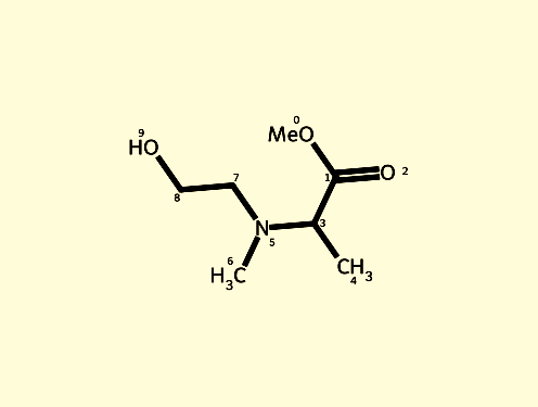 COC(=O)C(C)N(C)CCO